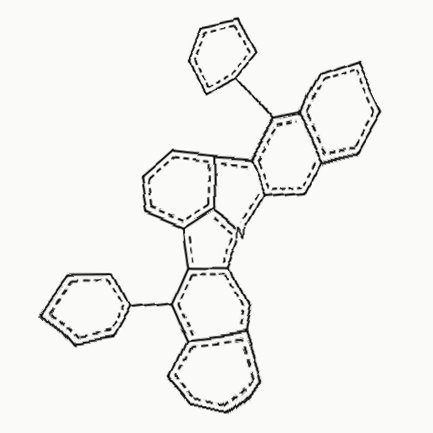 c1ccc(-c2c3ccccc3cc3c2c2cccc4c5c(-c6ccccc6)c6ccccc6cc5n3c24)cc1